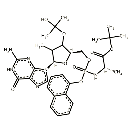 CC1C(OC(C)(C)O)[C@@H](COP(=O)(N[C@@H](C)C(=O)OC(C)(C)C)Oc2cccc3ccccc23)O[C@H]1n1cnc2c(=O)[nH]c(N)nc21